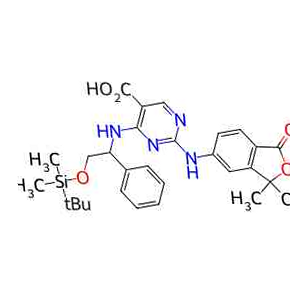 CC1(C)OC(=O)c2ccc(Nc3ncc(C(=O)O)c(NC(CO[Si](C)(C)C(C)(C)C)c4ccccc4)n3)cc21